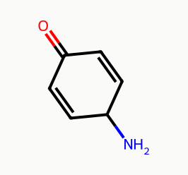 NC1C=CC(=O)C=C1